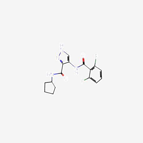 O=C(NC1CCCC1)c1n[nH]cc1NC(=O)c1c(F)cccc1F